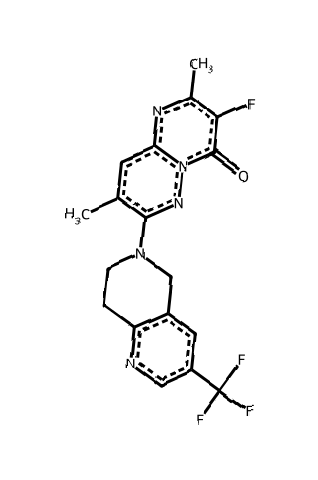 Cc1cc2nc(C)c(F)c(=O)n2nc1N1CCc2ncc(C(F)(F)F)cc2C1